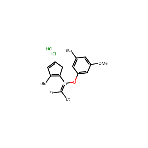 CC[C](CC)=[Ti]([O]c1cc(OC)cc(C(C)(C)C)c1)[C]1=C(C(C)(C)C)C=CC1.Cl.Cl